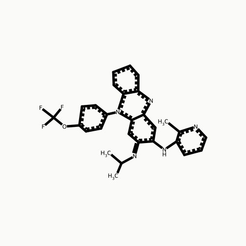 Cc1ncccc1Nc1cc2nc3ccccc3n(-c3ccc(OC(F)(F)F)cc3)c-2c/c1=N\C(C)C